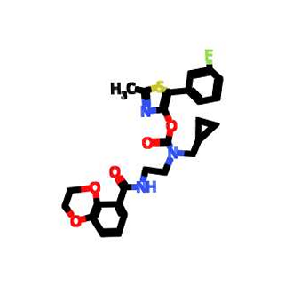 Cc1nc(OC(=O)N(CCNC(=O)c2cccc3c2OCCO3)CC2CC2)c(-c2cccc(F)c2)s1